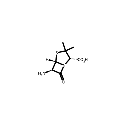 CC1(C)S[C@H]2[C@H](N)C(=O)N2[C@H]1C(=O)O